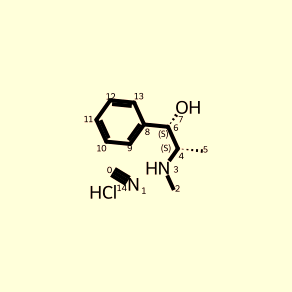 C#N.CN[C@@H](C)[C@@H](O)c1ccccc1.Cl